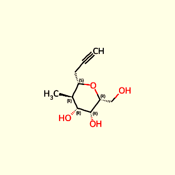 C#CC[C@@H]1O[C@H](CO)[C@H](O)[C@H](O)[C@H]1C